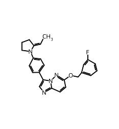 C/C=C1\CCCN1c1ccc(-c2cnc3ccc(OCc4cccc(F)c4)nn23)cc1